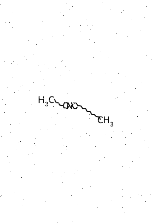 CCCCCCCCCCC1CCC(N2CCC(CCCCC)CC2)CC1